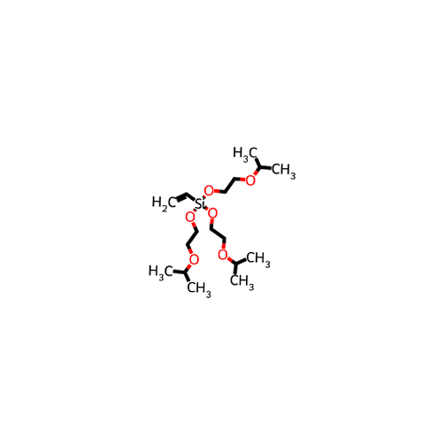 C=C[Si](OCCOC(C)C)(OCCOC(C)C)OCCOC(C)C